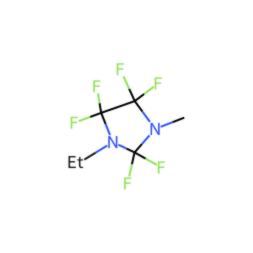 CCN1C(F)(F)N(C)C(F)(F)C1(F)F